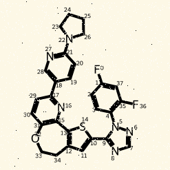 Fc1ccc(-n2ncnc2-c2cc3c(s2)-c2nc(-c4ccc(N5CCCC5)nc4)ccc2OCC3)c(F)c1